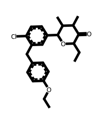 CCOc1ccc(Cc2cc(C3OC(CC)C(=O)C(C)C3C)ccc2Cl)cc1